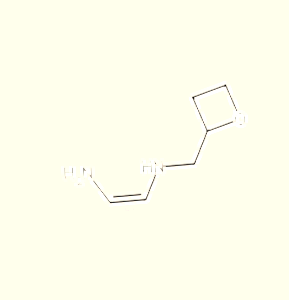 N/C=C\NCC1CCO1